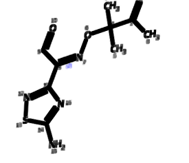 CC(=O)C(C)(C)O/N=C(\C=O)c1nsc(N)n1